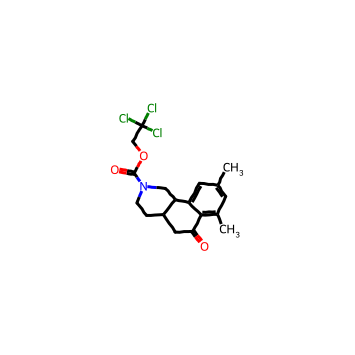 Cc1cc(C)c2c(c1)C1CN(C(=O)OCC(Cl)(Cl)Cl)CCC1CC2=O